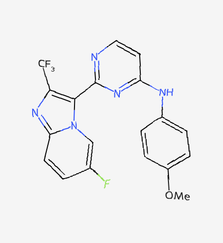 COc1ccc(Nc2ccnc(-c3c(C(F)(F)F)nc4ccc(F)cn34)n2)cc1